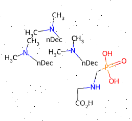 CCCCCCCCCCN(C)C.CCCCCCCCCCN(C)C.CCCCCCCCCCN(C)C.O=C(O)CNCP(=O)(O)O